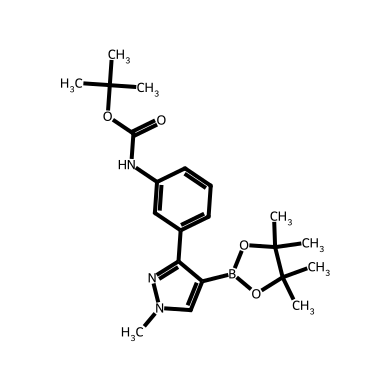 Cn1cc(B2OC(C)(C)C(C)(C)O2)c(-c2cccc(NC(=O)OC(C)(C)C)c2)n1